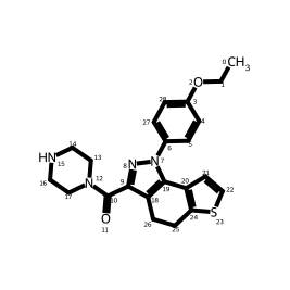 CCOc1ccc(-n2nc(C(=O)N3CCNCC3)c3c2-c2ccsc2CC3)cc1